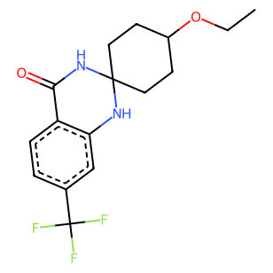 CCOC1CCC2(CC1)NC(=O)c1ccc(C(F)(F)F)cc1N2